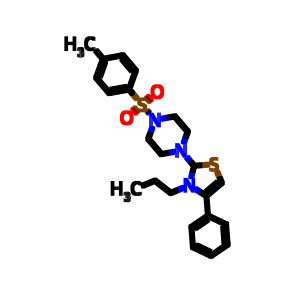 CCCN1C(c2ccccc2)=CSC1N1CCN(S(=O)(=O)c2ccc(C)cc2)CC1